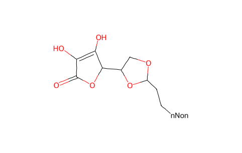 CCCCCCCCCCCC1OCC(C2OC(=O)C(O)=C2O)O1